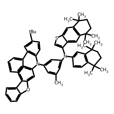 Cc1cc(N(c2ccc3c(c2)oc2ccccc23)c2ccc(C(C)(C)C)cc2-c2ccccc2)cc(N(c2ccc3c(c2)C(C)(C)CCC3(C)C)c2csc3cc4c(cc23)C(C)(C)CCC4(C)C)c1